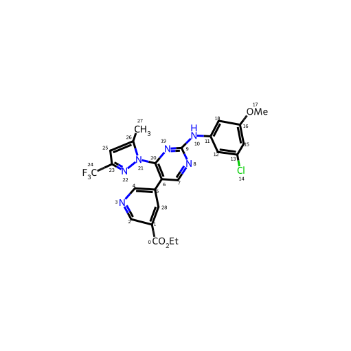 CCOC(=O)c1cncc(-c2cnc(Nc3cc(Cl)cc(OC)c3)nc2-n2nc(C(F)(F)F)cc2C)c1